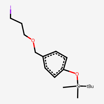 CC(C)(C)[Si](C)(C)Oc1ccc(COCCCI)cc1